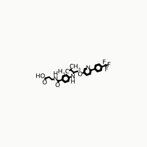 CC(C)C(COc1ccc(-c2ccc(C(F)(F)F)cc2)nc1)Nc1ccc(C(=O)NCCC(=O)O)cc1